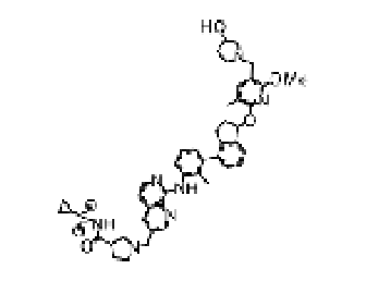 COc1nc(O[C@@H]2CCc3c(-c4cccc(Nc5nccc6cc(CN7CC[C@@H](C(=O)NS(=O)(=O)C8CC8)C7)cnc56)c4C)cccc32)c(C)cc1CN1CC[C@@H](O)C1